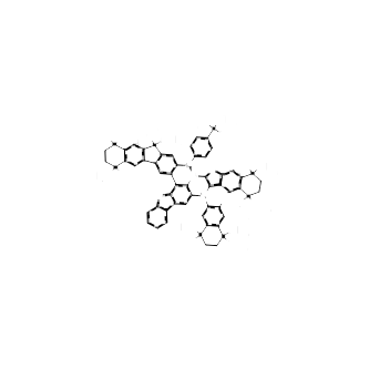 Cc1cc2c(cc1N1c3cc4c(oc5ccccc54)c4c3B(c3sc5cc6c(cc5c31)C(C)(C)CCC6(C)C)N(c1ccc(C(C)(C)C)cc1)c1cc3c(cc1-4)-c1cc4c(cc1C3(C)C)C(C)(C)CCC4(C)C)C(C)(C)CCC2(C)C